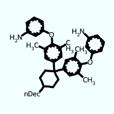 CCCCCCCCCCC1CCC(c2cc(C)c(Oc3cccc(N)c3)c(C)c2)(c2cc(C)c(Oc3cccc(N)c3)c(C)c2)CC1